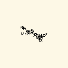 CCOc1oc(-c2ccc(F)cc2)nc1C(=O)Nc1ccc(Oc2ccnc3cc(OCCCN4CCN(C)CC4)c(OC)cc23)c(F)c1